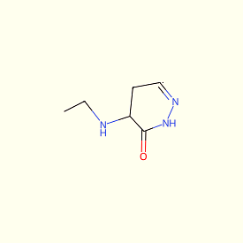 CCNC1C[C]=NNC1=O